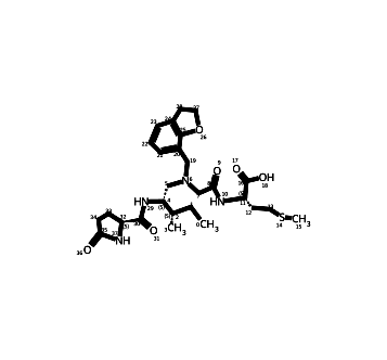 CC[C@H](C)[C@@H](CN(CC(=O)N[C@@H](CCSC)C(=O)O)Cc1cccc2c1OCC2)NC(=O)[C@@H]1CCC(=O)N1